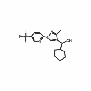 Cc1nn(-c2ccc(C(F)(F)F)cn2)cc1C(O)C1CCCCC1